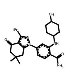 CC(C)c1nn(-c2ccc(C(N)=O)c(NC3CCC(O)CC3)c2)c2c1C(=O)CC(C)(C)C2